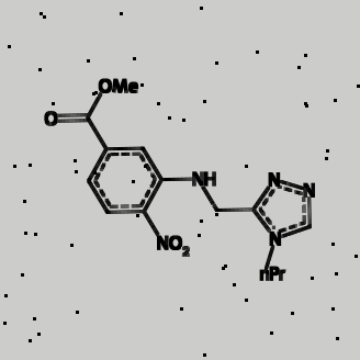 CCCn1cnnc1CNc1cc(C(=O)OC)ccc1[N+](=O)[O-]